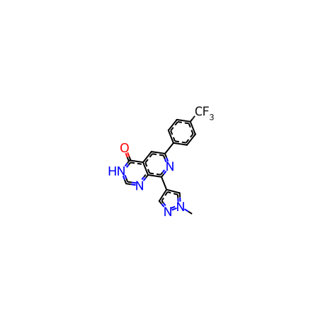 Cn1cc(-c2nc(-c3ccc(C(F)(F)F)cc3)cc3c(=O)[nH]cnc23)cn1